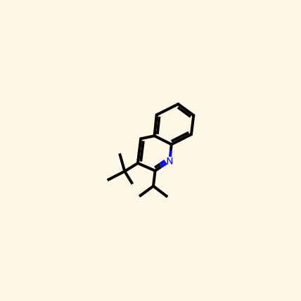 CC(C)c1nc2ccccc2cc1C(C)(C)C